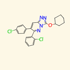 Clc1ccc(-c2cc3nnc(OC4CCCCC4)n3nc2-c2ccccc2Cl)cc1